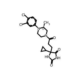 C[C@H]1CN(C(=O)CCC2(C3CC3)NC(=O)NC2=O)CCN1c1ccc(Cl)c(Cl)c1